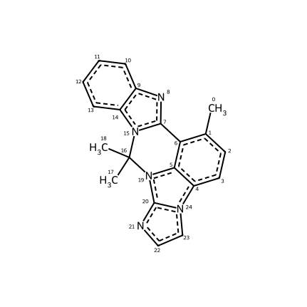 Cc1ccc2c3c1-c1nc4ccccc4n1C(C)(C)n3c1nccn21